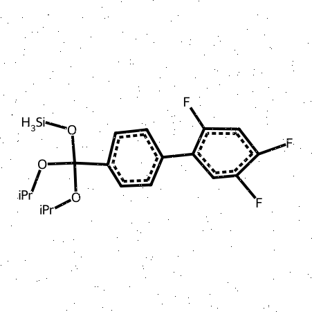 CC(C)OC(O[SiH3])(OC(C)C)c1ccc(-c2cc(F)c(F)cc2F)cc1